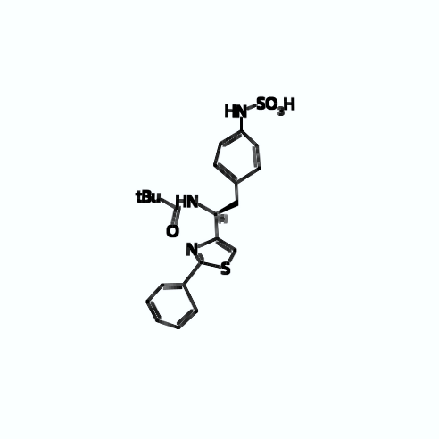 CC(C)(C)C(=O)N[C@@H](Cc1ccc(NS(=O)(=O)O)cc1)c1csc(-c2ccccc2)n1